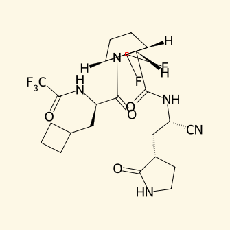 N#C[C@H](C[C@@H]1CCNC1=O)NC(=O)[C@H]1[C@H]2CC[C@H](CC2(F)F)N1C(=O)[C@@H](CC1CCC1)NC(=O)C(F)(F)F